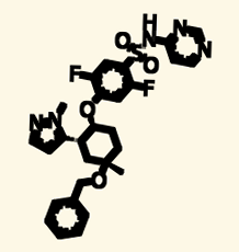 Cn1nccc1[C@H]1C[C@@](C)(OCc2ccccc2)CC[C@@H]1Oc1cc(F)c(S(=O)(=O)Nc2ccncn2)cc1F